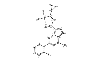 Cc1cc(-c2cccnc2F)nc2c(C(=O)N[C@H](C3CC3)C(F)(F)F)cnn12